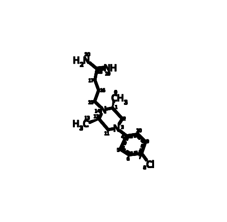 C[C@@H]1CN(c2ccc(Cl)cc2)C[C@@H](C)N1CCCC(=N)N